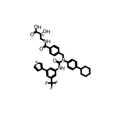 O=C(NC[C@@H](O)C(=O)O)c1ccc(CN(C(=O)Nc2cc(-c3ccsc3)cc(C(F)(F)F)c2)c2ccc(C3CCCCC3)cc2)cc1